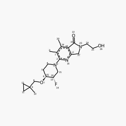 Cc1c(N2CC[C@H](OCC3(C)CC3)[C@@H](F)C2)nc2c(c1C)C(=O)N(CCO)C2